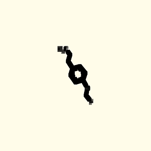 CCCc1ccc(OCF)cc1